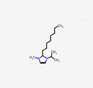 CCCCCCCCC1N(C)C=CN1C(C)C